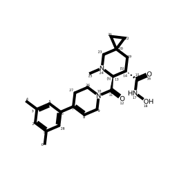 Cc1cc(C)cc(C2=CCN(C(=O)[C@@H]3[C@@H](C(=O)NO)CC4(CC4)CN3C)CC2)c1